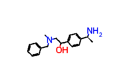 C[C@H](N)c1ccc(C(O)CN(C)Cc2ccccc2)cc1